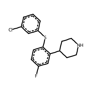 Fc1ccc(Sc2cccc(Cl)c2)c(C2CCNCC2)c1